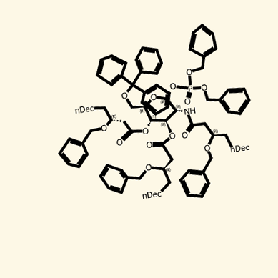 CCCCCCCCCCC[C@H](CC(=O)N[C@H]1[C@@H](OP(=O)(OCc2ccccc2)OCc2ccccc2)O[C@H](COC(c2ccccc2)(c2ccccc2)c2ccccc2)[C@@H](OC(=O)C[C@@H](CCCCCCCCCCC)OCc2ccccc2)[C@@H]1OC(=O)C[C@@H](CCCCCCCCCCC)OCc1ccccc1)OCc1ccccc1